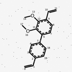 C=Cc1ccc(-c2ccc(C=C)c(OC)c2OC)cc1